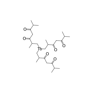 CC(C)C(=O)CC(=O)C(C)[CH2][Tb]([CH2]C(C)C(=O)CC(=O)C(C)C)[CH2]C(C)C(=O)CC(=O)C(C)C